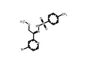 COCC(=NNS(=O)(=O)c1ccc(C)cc1)c1cc(Br)ccn1